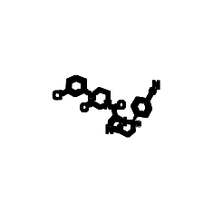 N#Cc1ccc([C@@H]2CCc3ncc(C(=O)N4CCN(c5cccc(Cl)c5)C(=O)C4)n32)cc1